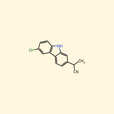 CC(C#N)c1ccc2c(c1)[nH]c1ccc(Cl)cc12